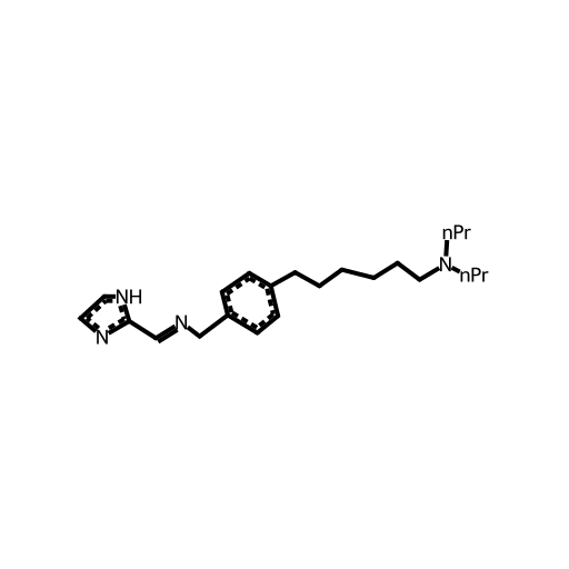 CCCN(CCC)CCCCCCc1ccc(CN=Cc2ncc[nH]2)cc1